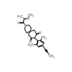 CC#Cc1cc(C)c(C2C(=O)CC3(CCN(C(=O)[C@H](C)OC)CC3)CC2=O)c(C)c1